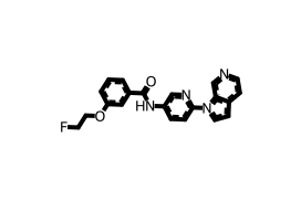 O=C(Nc1ccc(-n2ccc3ccncc32)nc1)c1cccc(OCCF)c1